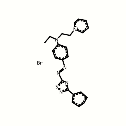 CCN(CC[n+]1ccccc1)c1ccc(N=Nc2nc(-c3ccccc3)ns2)cc1.[Br-]